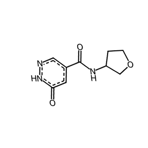 O=C(NC1CCOC1)c1cn[nH]c(=O)c1